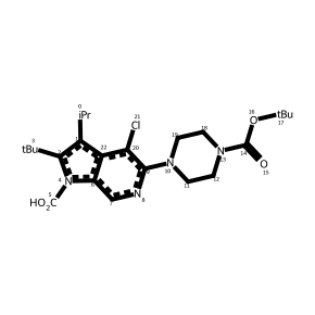 CC(C)c1c(C(C)(C)C)n(C(=O)O)c2cnc(N3CCN(C(=O)OC(C)(C)C)CC3)c(Cl)c12